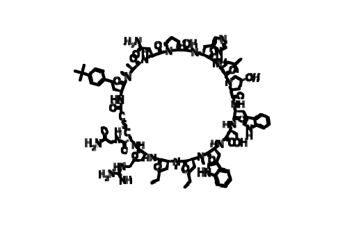 CCCC[C@H]1C(=O)N(C)[C@@H](CCCC)C(=O)N[C@@H](CCCNC(=N)N)C(=O)N[C@H](C(=O)NCC(N)=O)CSCC(=O)N[C@@H](CCc2ccc(C(C)(C)C)cc2)C(=O)N(C)[C@@H](C)C(=O)N[C@@H](CC(N)=O)C(=O)N2CCC[C@H]2C(=O)N[C@@H](Cc2cnc[nH]2)C(=O)N[C@@H](CC(C)C)C(=O)N2C[C@H](O)CC2C(=O)N[C@@H](Cc2c[nH]c3ccccc23)C(=O)N[C@@H](CO)C(=O)N[C@@H](Cc2c[nH]c3ccccc23)C(=O)N1C